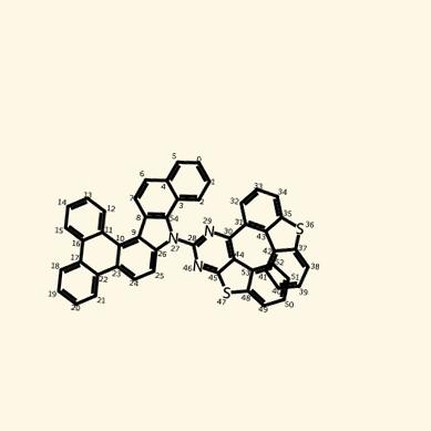 c1ccc2c(c1)ccc1c3c4c5ccccc5c5ccccc5c4ccc3n(-c3nc(-c4cccc5sc6ccccc6c45)c4c(n3)sc3ccccc34)c21